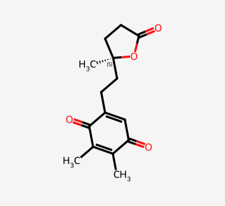 CC1=C(C)C(=O)C(CC[C@@]2(C)CCC(=O)O2)=CC1=O